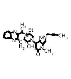 CC#CCn1cc2c(n1)c(N1C[C@@H](CC)N(C(C)c3nc4ccccc4nc3C)C[C@@H]1C)cc(=O)n2C